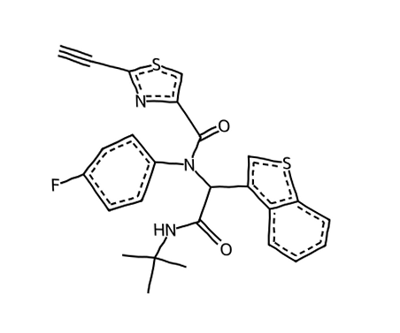 C#Cc1nc(C(=O)N(c2ccc(F)cc2)C(C(=O)NC(C)(C)C)c2csc3ccccc23)cs1